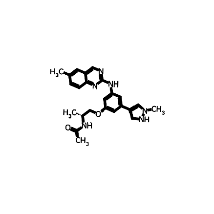 CC(=O)N[C@H](C)COc1cc(Nc2ncc3cc(C)ccc3n2)cc(C2=CN(C)NC2)c1